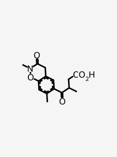 Cc1cc2c(cc1C(=O)C(C)CC(=O)O)CC(=O)N(C)O2